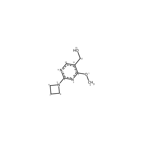 COc1nc(N2CCC2)ncc1CO